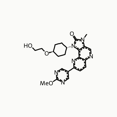 COc1ncc(-c2ccc3ncc4c(c3n2)n([C@H]2CC[C@H](OCCO)CC2)c(=O)n4C)cn1